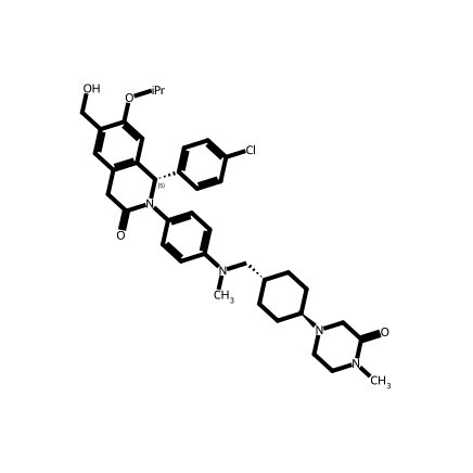 CC(C)Oc1cc2c(cc1CO)CC(=O)N(c1ccc(N(C)C[C@H]3CC[C@H](N4CCN(C)C(=O)C4)CC3)cc1)[C@H]2c1ccc(Cl)cc1